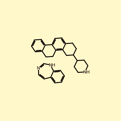 C1=Cc2ccccc2NC=N1.c1ccc2c(c1)CCc1c-2ccc2c1CC(C1CCNCC1)CC2